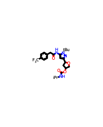 CC(C)NC(=O)OC1COC(c2cc(NC(=O)Cc3ccc(C(F)(F)F)cc3)n(C(C)(C)C)n2)C1